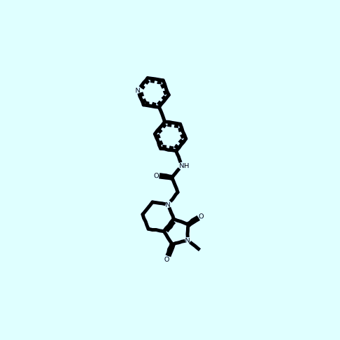 CN1C(=O)C2=C(C1=O)N(CC(=O)Nc1ccc(-c3cccnc3)cc1)CCC2